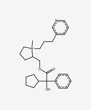 C[N+]1(CCCc2cccnc2)CCCC1COC(=O)C(O)(c1ccccc1)C1CCCC1